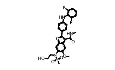 CNC(=O)c1c(-c2ccc(Nc3c(F)cccc3F)cc2)oc2cc(N(CCO)S(C)(=O)=O)c(OC)cc12